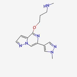 CNCCCOc1nc(-c2cnn(C)c2)cn2nccc12